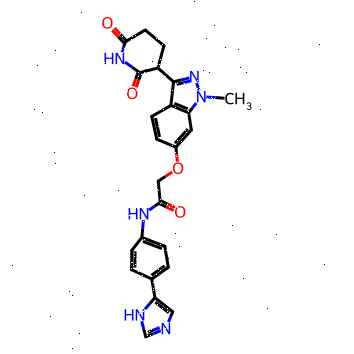 Cn1nc(C2CCC(=O)NC2=O)c2ccc(OCC(=O)Nc3ccc(-c4cnc[nH]4)cc3)cc21